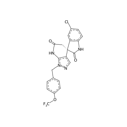 O=C1C[C@]2(C(=O)Nc3ccc(Cl)cc32)c2cnn(Cc3ccc(OC(F)(F)F)cc3)c2N1